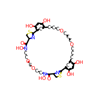 O=C1C2CSC(=N2)c2cc(c(O)cc2O)CCCOCCCOCCCc2cc(c(O)cc2O)C2=NC(CS2)C(=O)N(O)CCOCOCCN1O